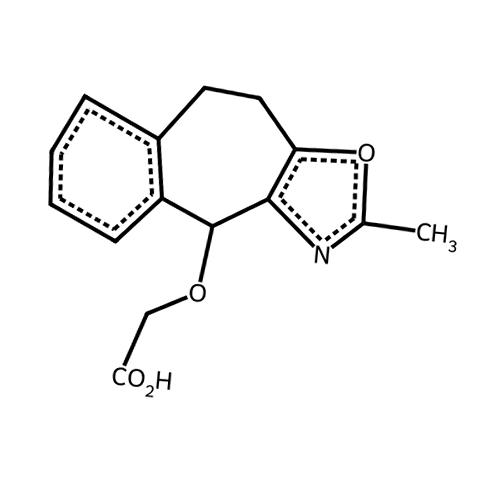 Cc1nc2c(o1)CCc1ccccc1C2OCC(=O)O